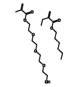 C=C(C)C(=O)OCCOCCOCCOCCO.C=C(CC)C(=O)OCCCCCC